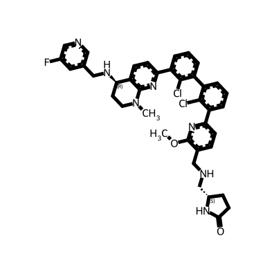 COc1nc(-c2cccc(-c3cccc(-c4ccc5c(n4)N(C)CC[C@H]5NCc4cncc(F)c4)c3Cl)c2Cl)ccc1CNC[C@@H]1CCC(=O)N1